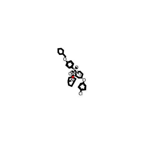 NC1CC2CCC(C1)N2C(=O)[C@@H]1C[C@H](Oc2ccc(Cl)cc2)CCN1S(=O)(=O)c1ccc(OCC2CCCCC2)cc1